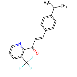 CC(C)c1ccc(C=CC(=O)c2ncccc2C(F)(F)F)cc1